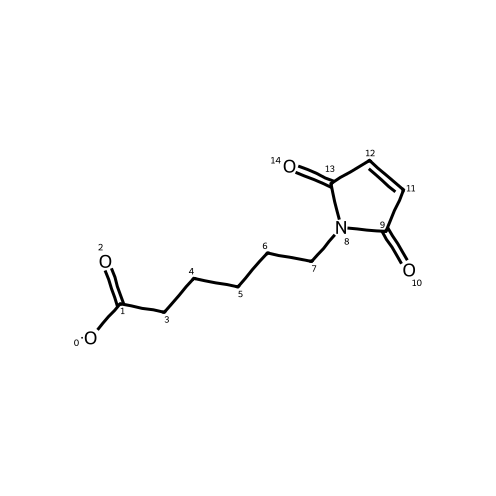 [O]C(=O)CCCCCN1C(=O)C=CC1=O